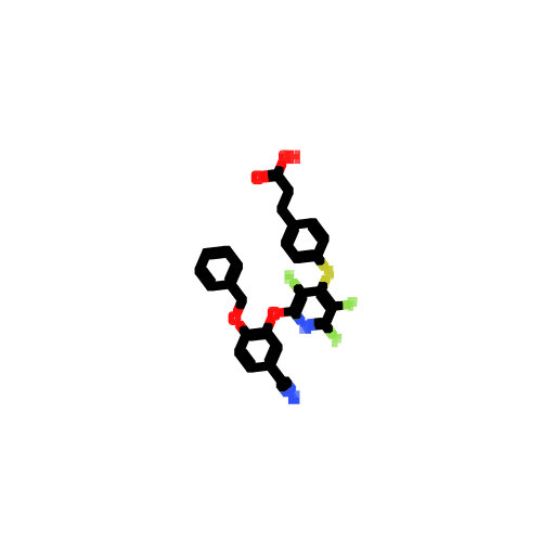 N#Cc1ccc(OCc2ccccc2)c(Oc2nc(F)c(F)c(Sc3ccc(CCC(=O)O)cc3)c2F)c1